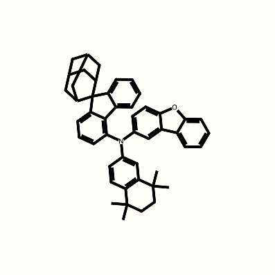 CC1(C)CCC(C)(C)c2cc(N(c3ccc4oc5ccccc5c4c3)c3cccc4c3-c3ccccc3C43C4CC5CC(C4)CC3C5)ccc21